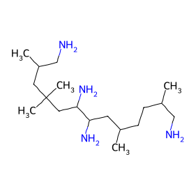 CC(CN)CCC(C)CC(N)C(N)CC(C)(C)CC(C)CN